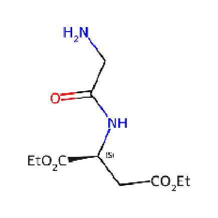 CCOC(=O)C[C@H](NC(=O)CN)C(=O)OCC